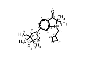 CC1(C)C(=O)c2ccc(B3OC(C)(C)C(C)(C)O3)cc2N1CC1CCC1